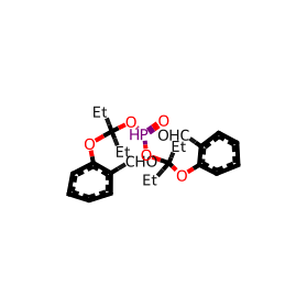 CCC(CC)(Oc1ccccc1C=O)O[PH](=O)OC(CC)(CC)Oc1ccccc1C=O